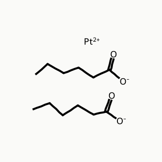 CCCCCC(=O)[O-].CCCCCC(=O)[O-].[Pt+2]